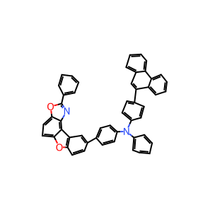 c1ccc(-c2nc3c(ccc4oc5ccc(-c6ccc(N(c7ccccc7)c7ccc(-c8cc9ccccc9c9ccccc89)cc7)cc6)cc5c43)o2)cc1